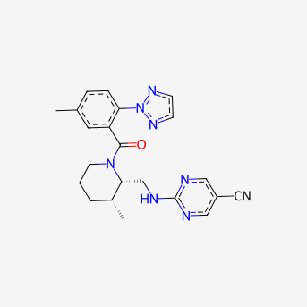 Cc1ccc(-n2nccn2)c(C(=O)N2CCC[C@@H](C)[C@H]2CNc2ncc(C#N)cn2)c1